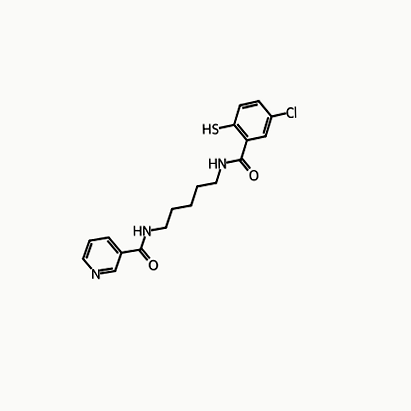 O=C(NCCCCCNC(=O)c1cc(Cl)ccc1S)c1cccnc1